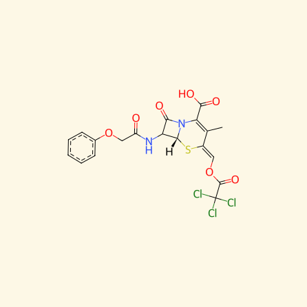 CC1=C(C(=O)O)N2C(=O)C(NC(=O)COc3ccccc3)[C@H]2S/C1=C\OC(=O)C(Cl)(Cl)Cl